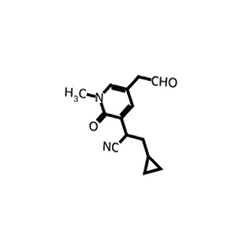 Cn1cc(CC=O)cc(C(C#N)CC2CC2)c1=O